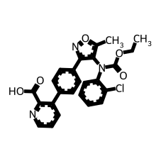 CCOC(=O)N(c1ccccc1Cl)c1c(-c2ccc(-c3cccnc3C(=O)O)cc2)noc1C